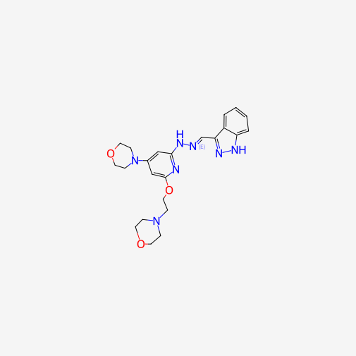 C(=N\Nc1cc(N2CCOCC2)cc(OCCN2CCOCC2)n1)/c1n[nH]c2ccccc12